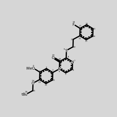 COc1cc(-n2ccnc(SCCc3ccccc3F)c2=O)ccc1OCC(C)(C)C